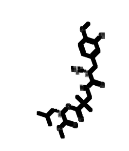 COC(=O)[C@H](CC(C)C)OC(=O)C(C)(C)CNC(=O)[C@H](N)Cc1ccc(OC)c(Cl)c1